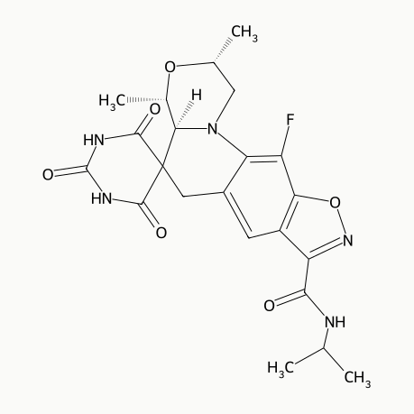 CC(C)NC(=O)c1noc2c(F)c3c(cc12)CC1(C(=O)NC(=O)NC1=O)[C@H]1[C@H](C)O[C@H](C)CN31